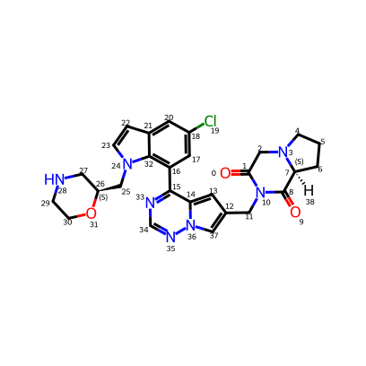 O=C1CN2CCC[C@H]2C(=O)N1Cc1cc2c(-c3cc(Cl)cc4ccn(C[C@@H]5CNCCO5)c34)ncnn2c1